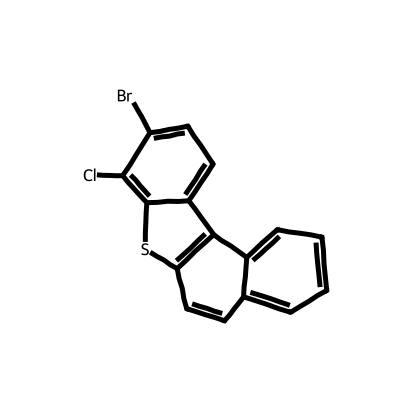 Clc1c(Br)ccc2c1sc1ccc3ccccc3c12